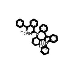 C[C@H]1CC=CC2[C@H]1c1c(c3ccccc3n1C1=CC=CCC1)-c1ccccc1N2C(=N)c1ccccc1C(N)c1ccccc1